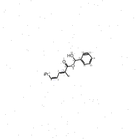 C/C(=C\C=C/C(C)C)C(=O)OC(O)c1c#cccc1